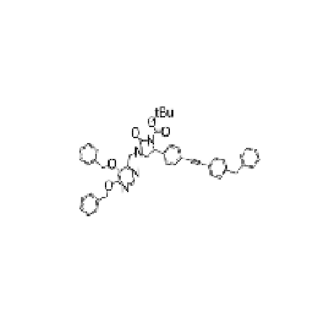 CC(C)(C)OC(=O)N1C(=O)N(Cc2ncnc(OCc3ccccc3)c2OCc2ccccc2)CC1c1ccc(C#Cc2ccc(Cc3ccccc3)cc2)cc1